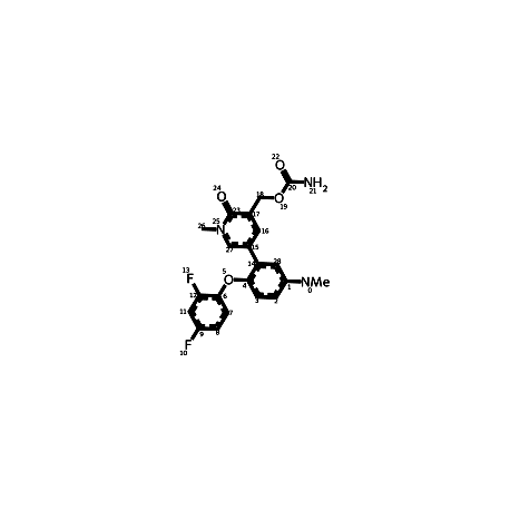 CNc1ccc(Oc2ccc(F)cc2F)c(-c2cc(COC(N)=O)c(=O)n(C)c2)c1